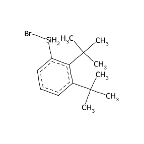 CC(C)(C)c1cccc([SiH2]Br)c1C(C)(C)C